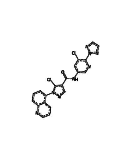 O=C(Nc1cnc(-n2nccn2)c(Cl)c1)c1cnn(-c2cccc3ncccc23)c1Cl